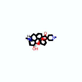 CN1CCC(C(=O)C2(O)CC=C3C[C@@H]4[C@@H]5C=C[C@H](O)[C@@H]6OC2=C3[C@]56CCN4C)(c2ccccc2)CC1